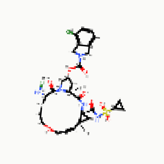 O=C1N[C@]2(C(=O)NS(=O)(=O)C3CC3)C[C@H]2/C=C\COCCC[C@H](NCl)C(=O)N2C[C@H](OC(=O)N3Cc4cccc(Cl)c4C3)C[C@@H]12